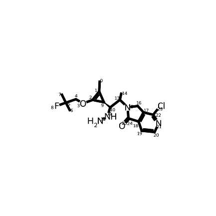 CC1=C(OCC(C)(C)F)[C@@H]1C(NN)C(C)N1Cc2c(ccnc2Cl)C1=O